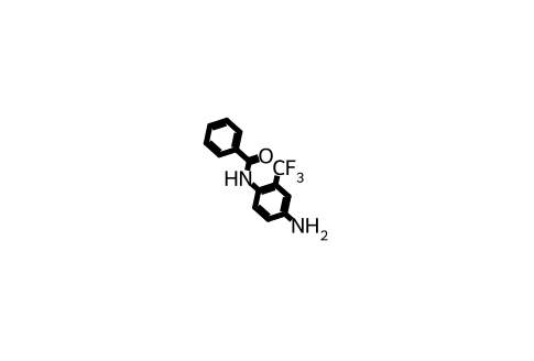 Nc1ccc(NC(=O)c2ccccc2)c(C(F)(F)F)c1